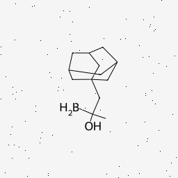 BC(C)(O)CC12CC3CC(CC(C3)C1)C2